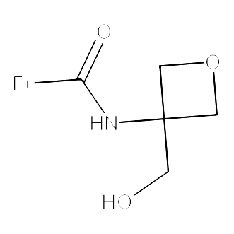 CCC(=O)NC1(CO)COC1